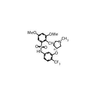 COc1cc(OC)c(C)c(S(=O)(=O)Nc2ccc(C(F)(F)F)c(O[C@@H]3CCN(C)C3)c2)c1